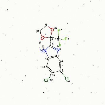 FC(F)(F)C1(c2nc3cc(Cl)c(Cl)cc3[nH]2)OCCO1